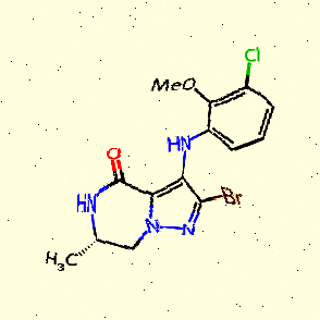 COc1c(Cl)cccc1Nc1c(Br)nn2c1C(=O)N[C@@H](C)C2